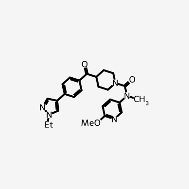 CCn1cc(-c2ccc(C(=O)C3CCN(C(=O)N(C)c4ccc(OC)nc4)CC3)cc2)cn1